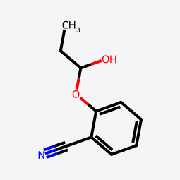 CCC(O)Oc1ccccc1C#N